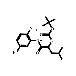 CC(C)CC(NC(=O)OC(C)(C)C)C(=O)Nc1cc(Br)ccc1N